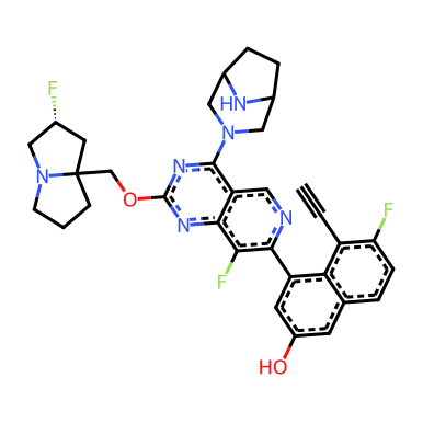 C#Cc1c(F)ccc2cc(O)cc(-c3ncc4c(N5CC6CCC(C5)N6)nc(OCC56CCCN5C[C@H](F)C6)nc4c3F)c12